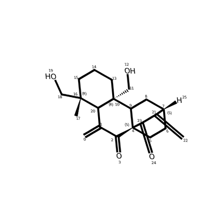 C=C1C(=O)[C@@]23CC[C@@H](CC2[C@]2(CO)CCC[C@@](C)(CO)C12)C(=C)C3=O